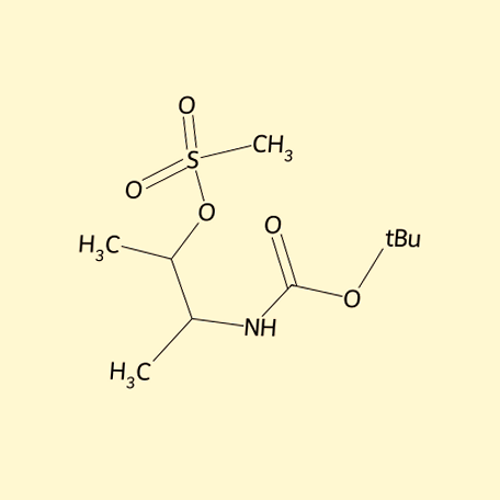 CC(NC(=O)OC(C)(C)C)C(C)OS(C)(=O)=O